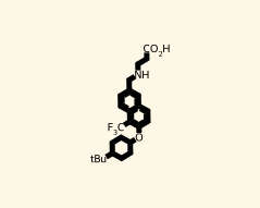 CC(C)(C)C1CCC(Oc2ccc3cc(CNCCC(=O)O)ccc3c2C(F)(F)F)CC1